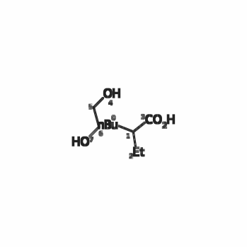 CCCCC(CC)C(=O)O.OCCO